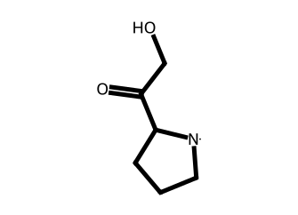 O=C(CO)C1CCC[N]1